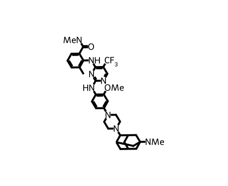 CNC(=O)c1cccc(C)c1Nc1nc(Nc2ccc(N3CCN(C4C5CC6CC4CC(NC)(C6)C5)CC3)cc2OC)ncc1C(F)(F)F